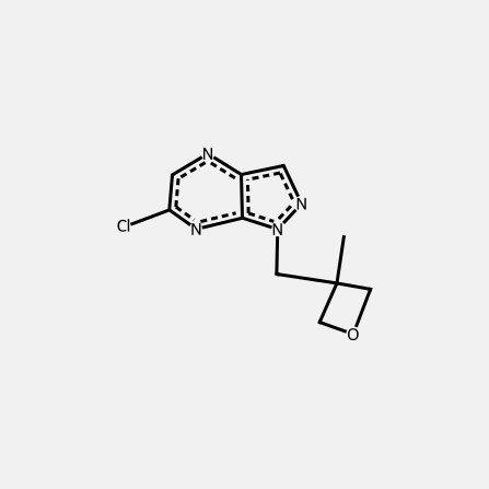 CC1(Cn2ncc3ncc(Cl)nc32)COC1